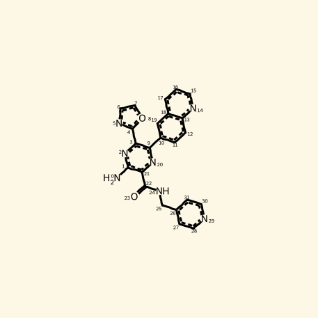 Nc1nc(-c2ncco2)c(-c2ccc3ncccc3c2)nc1C(=O)NCc1ccncc1